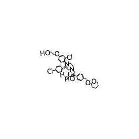 C[C@@](O)(CN1CCN(c2ccc(OCCO)cc2Cl)[C@H](c2ccc(Cl)cc2)C1)c1ccc(COC2CCCCO2)cc1